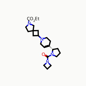 CCOC(=O)N1CCC2(CC(N3CC=C([C@@H]4CCCN4C(=O)N4CCC4)CC3)C2)C1